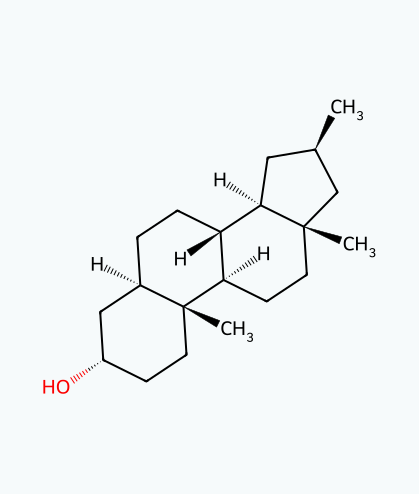 C[C@@H]1C[C@@H]2[C@H]3CC[C@@H]4C[C@@H](O)CC[C@@]4(C)[C@@H]3CC[C@@]2(C)C1